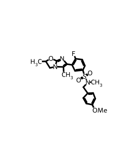 COc1ccc(CN(C)S(=O)(=O)c2ccc(F)c(-c3nc4n(c3C)CC(C)O4)c2)cc1